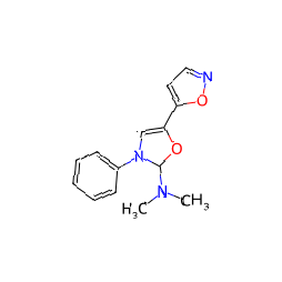 CN(C)C1OC(c2ccno2)=[C]N1c1ccccc1